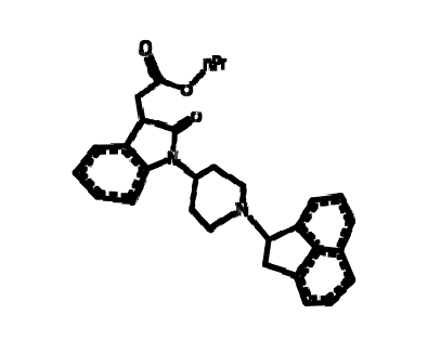 CCCOC(=O)CC1C(=O)N(C2CCN(C3Cc4cccc5cccc3c45)CC2)c2ccccc21